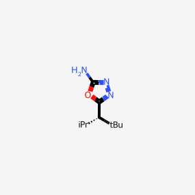 CC(C)[C@H](c1nnc(N)o1)C(C)(C)C